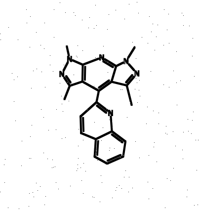 Cc1nn(C)c2nc3c(c(C)nn3C)c(-c3ccc4ccccc4n3)c12